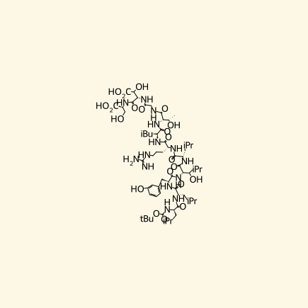 CC[C@H](C)[C@H](NC(=O)[C@@H](CCCNC(=N)N)NC(=O)[C@H](CC(C)C)NC(=O)[C@@H](NC(=O)[C@H](Cc1cccc(O)c1)NC(=O)[C@H](CC(C)C)NC(=O)[C@@H](CC(C)C)NC(=O)OC(C)(C)C)C(O)C(C)C)C(=O)N[C@H](C(=O)NCC(=O)N[C@H](C(=O)N[C@@H](CO)C(=O)O)C(O)C(=O)O)[C@H](C)O